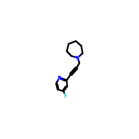 Fc1ccnc(C#CCN2CCCCCC2)c1